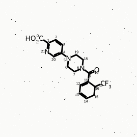 O=C(O)c1ccc(N2CCN(C(=O)C3=CC=CCC3C(F)(F)F)CC2)cn1